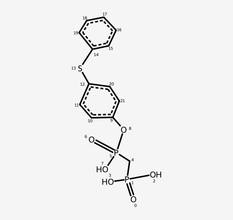 O=P(O)(O)CP(=O)(O)Oc1ccc(Sc2ccccc2)cc1